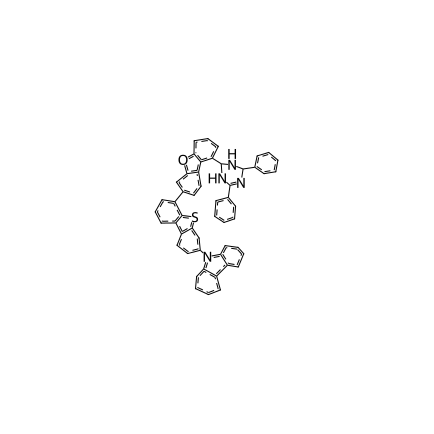 c1ccc(C2=NC(c3ccccc3)NC(c3cccc4oc5cc(-c6cccc7c6sc6cc(-n8c9ccccc9c9ccccc98)ccc67)ccc5c34)N2)cc1